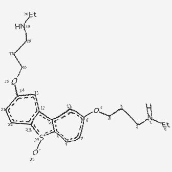 CCNCCCOc1ccc2c(c1)c1cc(OCCCNCC)ccc1[s+]2[O-]